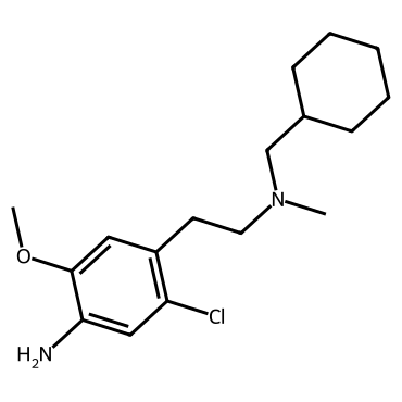 COc1cc(CCN(C)CC2CCCCC2)c(Cl)cc1N